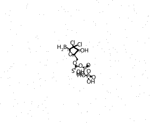 B[C@@H]1O[C@H](COP(O)(=S)OP(=O)(O)OP(=O)(O)O)[C@@H](O)C1(Cl)Cl